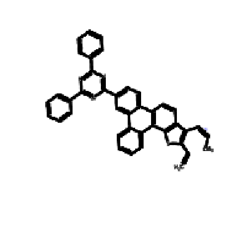 C=Cc1sc2c(ccc3c4ccc(-c5nc(-c6ccccc6)nc(-c6ccccc6)n5)cc4c4ccccc4c32)c1/C=C\C